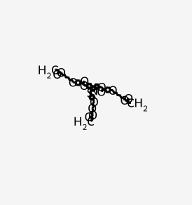 C=CC(=O)OCCCCCCOC1CCC(C(=O)Oc2ccc3c(c2)nc(Sc2ccc(OCCOCCOC(=O)C=C)cc2)c2cc(OC(=O)C4CCC(OCCCCCCOC(=O)C=C)CC4)ccc23)CC1